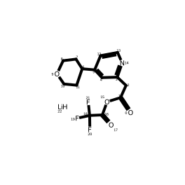 O=C(Cc1cc(C2CCOCC2)ccn1)OC(=O)C(F)(F)F.[LiH]